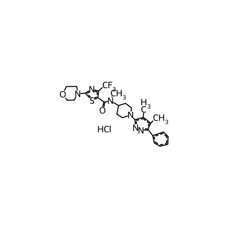 Cc1c(-c2ccccc2)nnc(N2CCC(N(C)C(=O)c3sc(N4CCOCC4)nc3C(F)(F)F)CC2)c1C.Cl